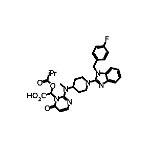 CC(C)C(=O)OC(C(=O)O)n1c(N(C)C2CCN(c3nc4ccccc4n3Cc3ccc(F)cc3)CC2)nccc1=O